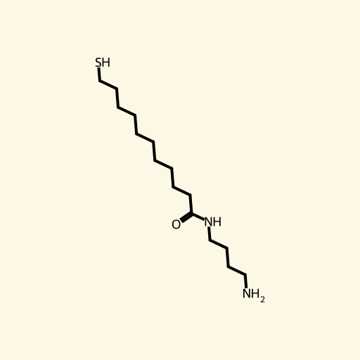 NCCCCNC(=O)CCCCCCCCCCS